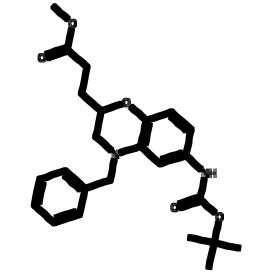 COC(=O)CCC1CN(Cc2ccccc2)c2cc(NC(=O)OC(C)(C)C)ccc2O1